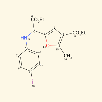 CCOC(=O)c1cc(C(Nc2ccc(I)cc2)C(=O)OCC)oc1C